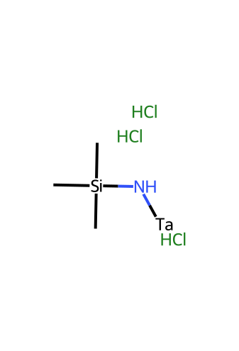 C[Si](C)(C)[NH][Ta].Cl.Cl.Cl